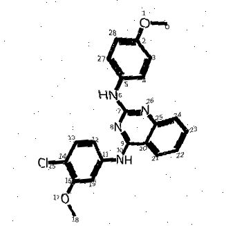 COc1ccc(Nc2nc(Nc3ccc(Cl)c(OC)c3)c3ccccc3n2)cc1